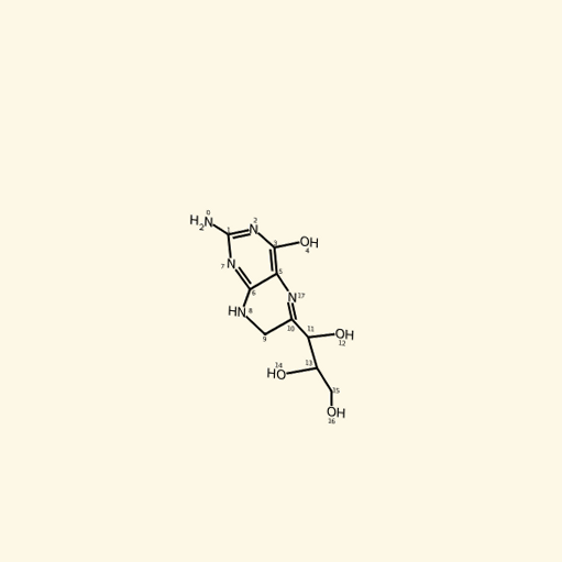 Nc1nc(O)c2c(n1)NCC(C(O)C(O)CO)=N2